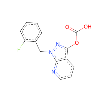 O=C(O)Oc1nn(Cc2ccccc2F)c2ncccc12